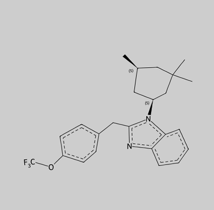 C[C@@H]1C[C@H](n2c(Cc3ccc(OC(F)(F)F)cc3)nc3ccccc32)CC(C)(C)C1